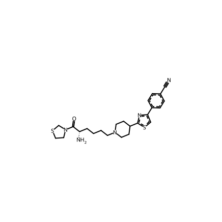 N#Cc1ccc(-c2csc(C3CCN(CCCC[C@H](N)C(=O)N4CCSC4)CC3)n2)cc1